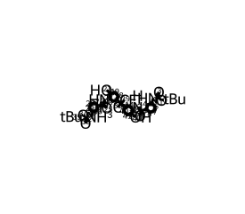 CC(C)(C)OC(=O)Nc1cccc(C(=O)Nc2cc(C(c3ccc(O)c(NC(=O)c4cccc(NC(=O)OC(C)(C)C)c4)c3)(C(F)(F)F)C(F)(F)F)ccc2O)c1